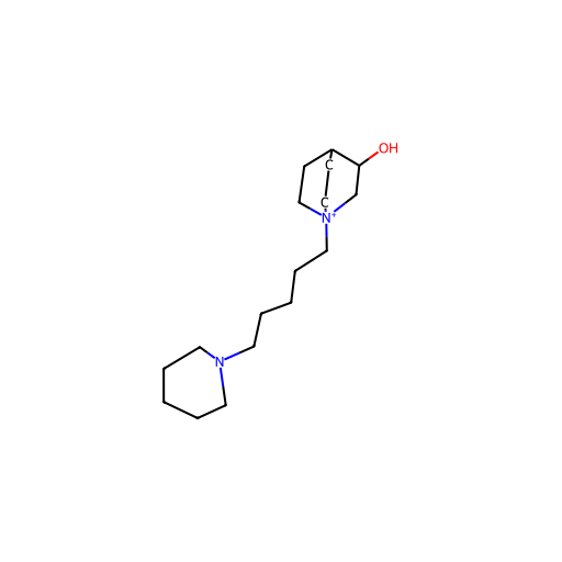 OC1C[N+]2(CCCCCN3CCCCC3)CCC1CC2